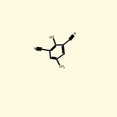 Cc1cc(C#N)c(O)c(C#N)c1